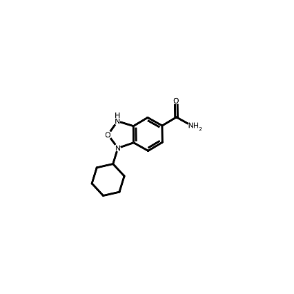 NC(=O)c1ccc2c(c1)NON2C1CCCCC1